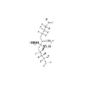 O=C(O)C(CC(F)(F)C(F)(F)C(F)(F)C(F)F)C(CC(F)(F)C(F)(F)C(F)(F)C(F)F)(C(=O)O)S(=O)(=O)O.[NaH]